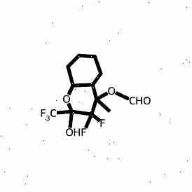 CC1(OC=O)C2CCCCC2OC(O)(C(F)(F)F)C1(F)F